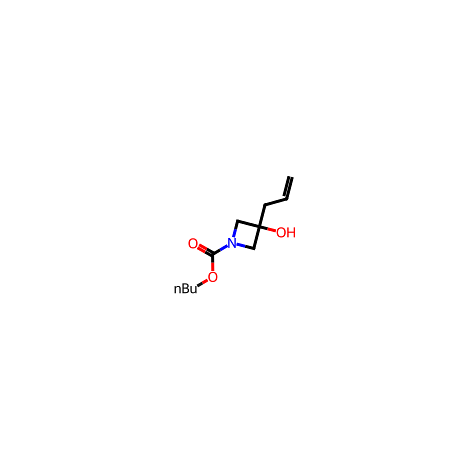 C=CCC1(O)CN(C(=O)OCCCC)C1